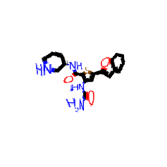 NC(=O)Nc1cc(-c2cc3ccccc3o2)sc1C(=O)N[C@H]1CCCNC1